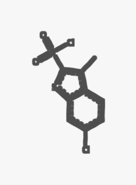 Cc1c(S(=O)(=O)Cl)sc2cc(Cl)ccc12